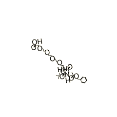 CC(C)(C)OC(=O)N[C@@H](CC(=O)OCc1ccccc1)C(=O)NCCOCCOCCOCCOCC(=O)O